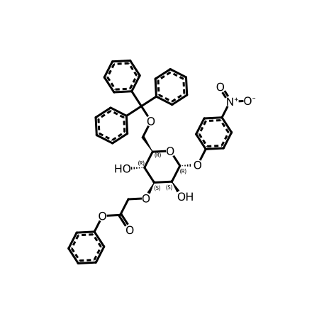 O=C(CO[C@@H]1[C@H](O)[C@@H](Oc2ccc([N+](=O)[O-])cc2)O[C@H](COC(c2ccccc2)(c2ccccc2)c2ccccc2)[C@H]1O)Oc1ccccc1